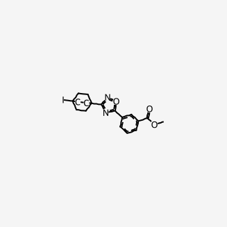 COC(=O)c1cccc(-c2nc(C34CCC(I)(CC3)CC4)no2)c1